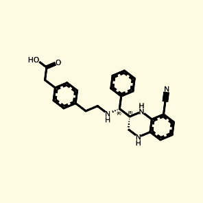 N#Cc1cccc2c1N[C@@H]([C@H](NCCc1ccc(CC(=O)O)cc1)c1ccccc1)CN2